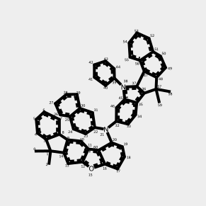 CC1(C)c2ccccc2-c2cc3c(cc21)oc1cccc(N(c2ccc4ccccc4c2)c2ccc4c5c(n(-c6ccccc6)c4c2)-c2c(ccc4ccccc24)C5(C)C)c13